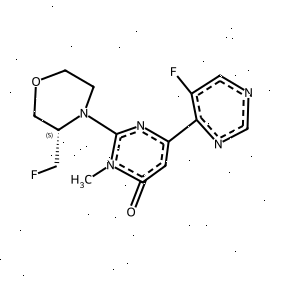 Cn1c(N2CCOC[C@H]2CF)nc(-c2ncncc2F)cc1=O